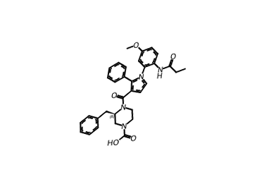 CCC(=O)Nc1ccc(OC)cc1-n1ccc(C(=O)N2CCN(C(=O)O)C[C@H]2Cc2ccccc2)c1-c1ccccc1